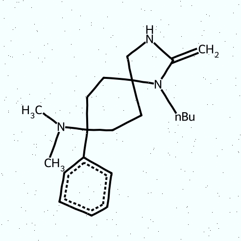 C=C1NCC2(CCC(c3ccccc3)(N(C)C)CC2)N1CCCC